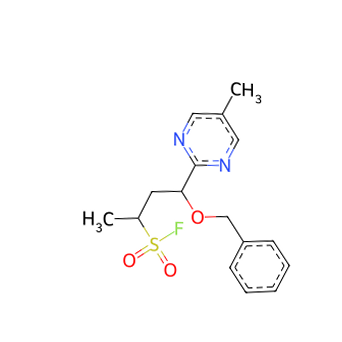 Cc1cnc(C(CC(C)S(=O)(=O)F)OCc2ccccc2)nc1